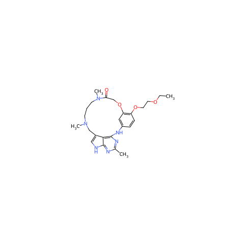 CCOCCOc1ccc2cc1OCC(=O)N(C)CCCN(C)Cc1c[nH]c3nc(C)nc(c13)N2